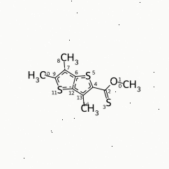 COC(=S)c1sc2c(C)c(C)sc2c1C